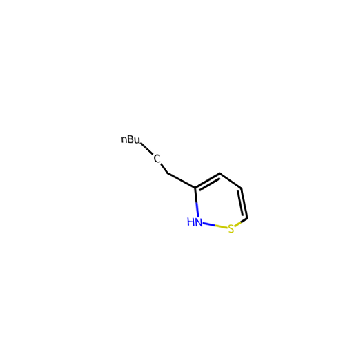 CCCCCCC1=CC=CSN1